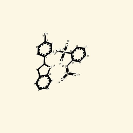 CCc1ccc(C2Cc3ccccc3O2)cc1.NS(=O)(=O)c1ccccc1N=S(=O)=O